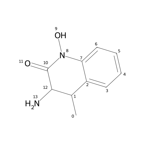 CC1c2ccccc2N(O)C(=O)C1N